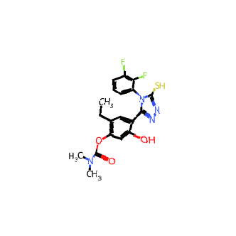 CCc1cc(-c2nnc(S)n2-c2cccc(F)c2F)c(O)cc1OC(=O)N(C)C